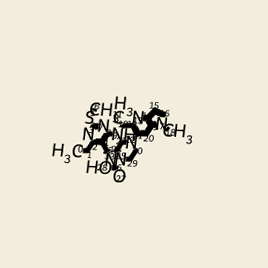 CCc1nc(SC)nc(NC(C)c2nc3ccn(C)c3cc2N2CCN(C(=O)O)CC2)c1C#N